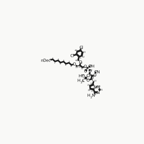 CCCCCCCCCCCCCCCCCCOC[C@H](COP(=O)(O)OC[C@@H](OC#N)[C@H](Cc1ccc2c(N)ncnn12)OC(C)(C)O)OCc1ccc(Cl)cc1Cl